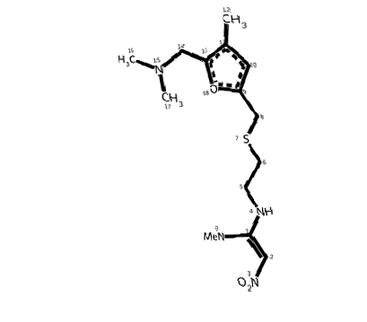 CN/C(=C\[N+](=O)[O-])NCCSCc1cc(C)c(CN(C)C)o1